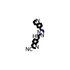 C=N/C(=N\C(=C/C)c1ccc2ncccc2c1)NCc1ccc2cc(C#N)cnc2c1